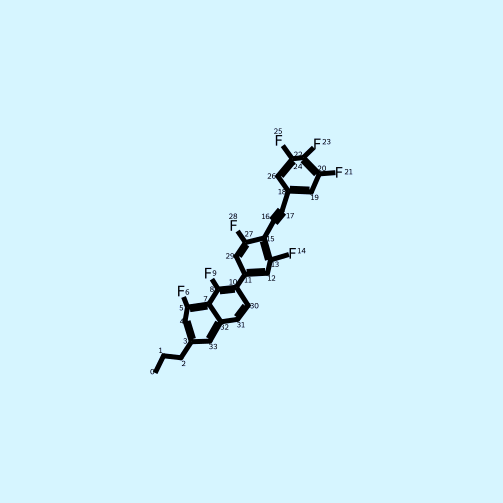 CCCc1cc(F)c2c(F)c(-c3cc(F)c(C#Cc4cc(F)c(F)c(F)c4)c(F)c3)ccc2c1